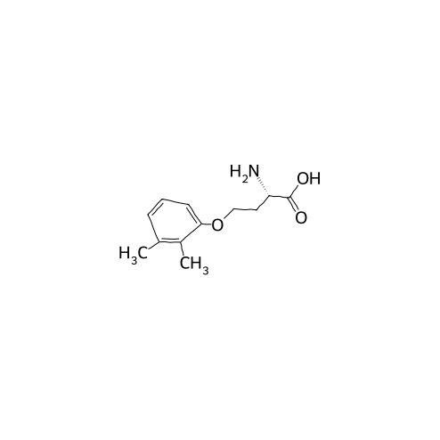 Cc1cccc(OCC[C@H](N)C(=O)O)c1C